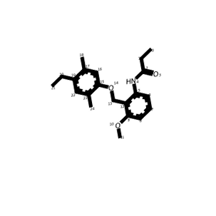 CCC(=O)Nc1cccc(OC)c1COc1cc(C)c(CC)cc1C